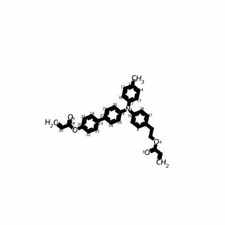 C=CC(=O)OCCc1ccc(N(c2ccc(C)cc2)c2ccc(-c3ccc(OC(=O)C=C)cc3)cc2)cc1